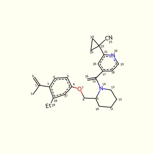 C=C(C)c1ccc(OCC2CCCCN2C(=C)c2ccnc(C3(C#N)CC3)c2)cc1CC